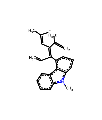 C=C/C(=C(\C=C(C)C)C(=C)CC)c1cccc2c1c1ccccc1n2C